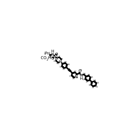 CC(C)[C@@H](NS(=O)(=O)N1CCN(c2ccc(C#Cc3ccnc(C(=O)NCc4ccc(-c5ccccc5)cc4)c3)cc2)CC1)C(=O)O